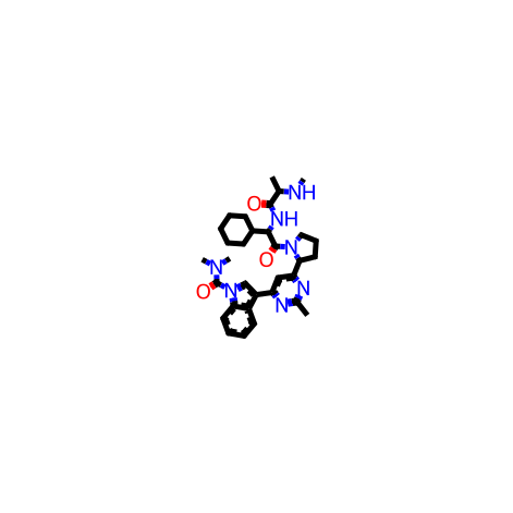 CNC(C)C(=O)NC(C(=O)N1CCCC1c1cc(-c2cn(C(=O)N(C)C)c3ccccc23)nc(C)n1)C1CCCCC1